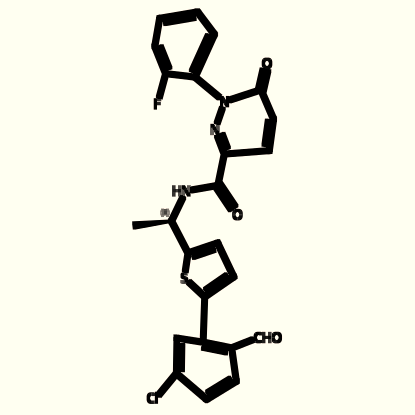 C[C@@H](NC(=O)c1ccc(=O)n(-c2ccccc2F)n1)c1ccc(-c2cc(Cl)ccc2C=O)s1